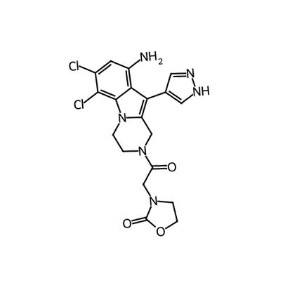 Nc1cc(Cl)c(Cl)c2c1c(-c1cn[nH]c1)c1n2CCN(C(=O)CN2CCOC2=O)C1